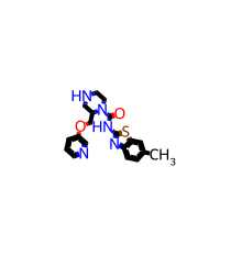 Cc1ccc2nc(NC(=O)N3CCNCC3COc3cccnc3)sc2c1